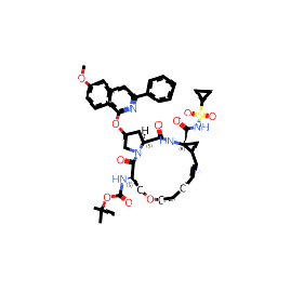 COc1ccc2c(OC3C[C@H]4C(=O)N[C@]5(C(=O)NS(=O)(=O)C6CC6)CC5/C=C\CCCOC[C@H](NC(=O)OC(C)(C)C)C(=O)N4C3)nc(-c3ccccc3)cc2c1